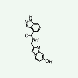 O=C(NCc1cn2ccc(O)cc2n1)c1cccc2[nH]ncc12